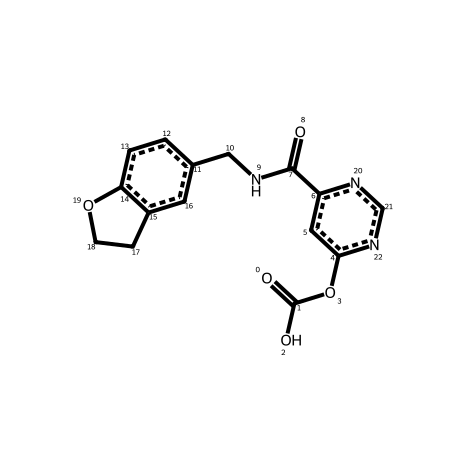 O=C(O)Oc1cc(C(=O)NCc2ccc3c(c2)CCO3)ncn1